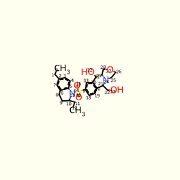 CCc1ccc2c(c1)CCC(CC)N2S(=O)(=O)c1ccc(C(CO)N2CCOCC2)c(CO)c1